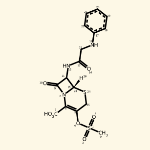 CS(=O)(=O)OC1=C(C(=O)O)N2C(=O)C(NC(=O)CNc3ccccc3)[C@@H]2SC1